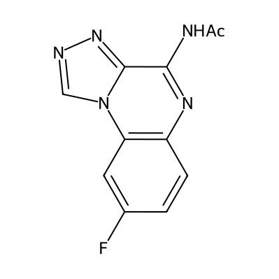 CC(=O)Nc1nc2ccc(F)cc2n2cnnc12